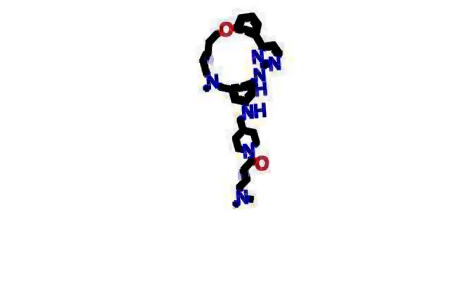 CN(C)C/C=C/C(=O)N1CCC(CNc2cc3cc(c2)Nc2nccc(n2)-c2cccc(c2)OCC/C=C/CN(C)C3)CC1